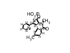 Cc1ccc(C(=O)N(C)c2cc(-c3ccccn3)sc2OC(=O)O)cc1